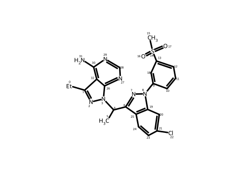 CCc1nn(C(C)c2nn(-c3cccc(S(C)(=O)=O)c3)c3cc(Cl)ccc23)c2ncnc(N)c12